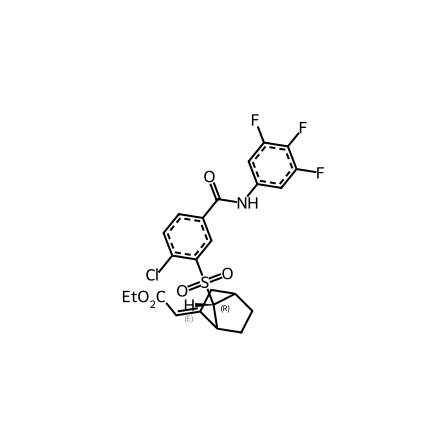 CCOC(=O)/C=C1\CC2CCC1[C@@H]2S(=O)(=O)c1cc(C(=O)Nc2cc(F)c(F)c(F)c2)ccc1Cl